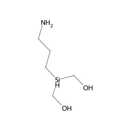 NCCC[SiH](CO)CO